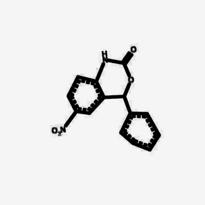 O=C1Nc2ccc([N+](=O)[O-])cc2C(c2ccccc2)O1